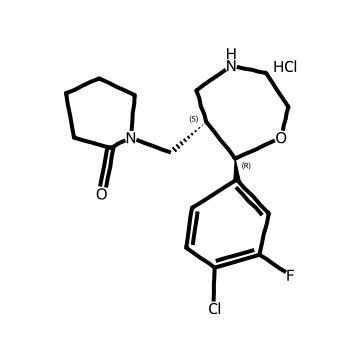 Cl.O=C1CCCCN1C[C@@H]1CNCCO[C@H]1c1ccc(Cl)c(F)c1